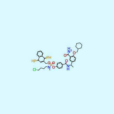 CC(NC(=O)c1ccc(OP(=O)(OCC2=CC(=P)c3ccccc3C2=P)N(C)CCCCCl)cc1)c1ccc(OCC2CCCCC2)c(C(N)=O)c1